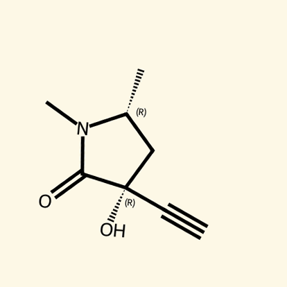 C#C[C@]1(O)C[C@@H](C)N(C)C1=O